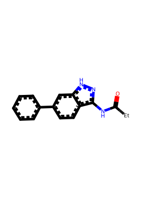 CCC(=O)Nc1n[nH]c2cc(-c3ccccc3)ccc12